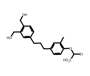 CCC(Oc1ccc(CCCc2ccc(CO)c(CO)c2)cc1C)C(=O)O